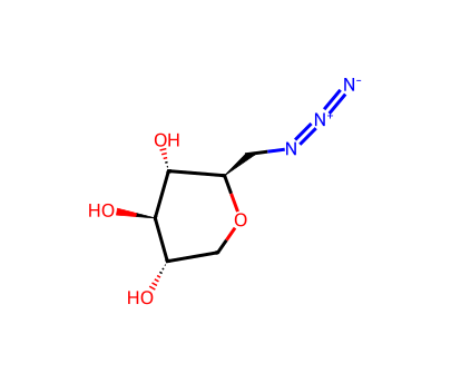 [N-]=[N+]=NC[C@H]1OC[C@H](O)[C@@H](O)[C@@H]1O